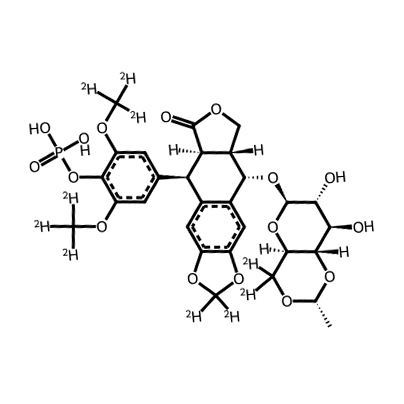 [2H]C([2H])([2H])Oc1cc([C@@H]2c3cc4c(cc3[C@@H](O[C@@H]3O[C@H]5[C@@H](O[C@H](C)OC5([2H])[2H])[C@H](O)[C@H]3O)[C@H]3COC(=O)[C@H]23)OC([2H])([2H])O4)cc(OC([2H])([2H])[2H])c1OP(=O)(O)O